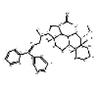 CC[C@H]1[C@@H](OC(C)=O)C2C3CC[C@H]([C@H](C)CC=C(c4ccccc4)c4ccccc4)[C@@]3(C)CCC2[C@@]2(C)CCCC[C@@H]12